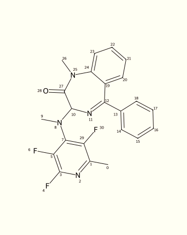 Cc1nc(F)c(F)c(N(C)C2N=C(c3ccccc3)c3ccccc3N(C)C2=O)c1F